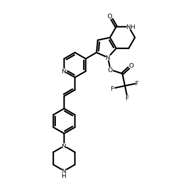 O=C1NCCc2c1cc(-c1ccnc(C=Cc3ccc(N4CCNCC4)cc3)c1)n2OC(=O)C(F)(F)F